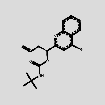 C=CC[C@H](OC(=O)NC(C)(C)C)c1cc(Br)c2ccccc2n1